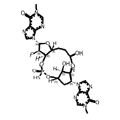 Cn1cnc2c(ncn2[C@@H]2C[C@@H]3OP(=O)(S)O[C@H]4[C@@H](F)[C@H](n5cnc6c(=O)n(C)cnc65)O[C@@H]4CCC(O)O[C@@H]2[C@@H]3O)c1=O